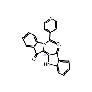 O=C1/C(=C2/C(=O)c3ccccc3N2C(=O)c2ccncc2)Nc2ccccc21